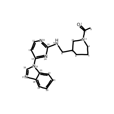 CC(=O)N1CCCC(CNc2nccc(-n3cnc4ccccc43)n2)C1